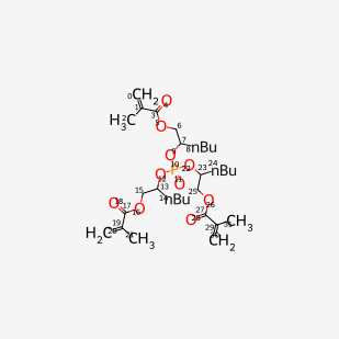 C=C(C)C(=O)OCC(CCCC)OP(=O)(OC(CCCC)COC(=O)C(=C)C)OC(CCCC)COC(=O)C(=C)C